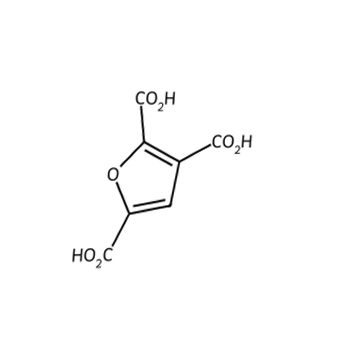 O=C(O)c1cc(C(=O)O)c(C(=O)O)o1